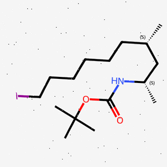 C[C@@H](CCCCCCI)C[C@H](C)NC(=O)OC(C)(C)C